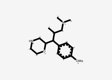 COc1ccc(C(C(C)CN(C)C)C2CNCCO2)cc1